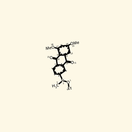 CCON(C)c1ccc2c(c1)C(=O)c1cc(OC)cc(OC)c1C2=O